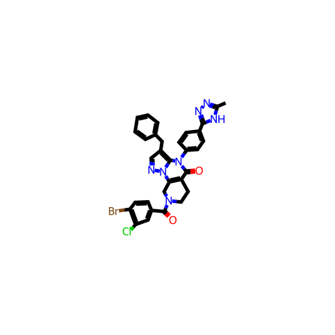 Cc1nnc(-c2ccc(-n3c(=O)c4c(n5ncc(Cc6ccccc6)c35)CN(C(=O)c3ccc(Br)c(Cl)c3)CC4)cc2)[nH]1